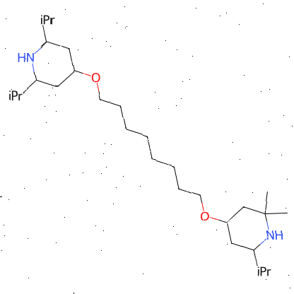 CC(C)C1CC(OCCCCCCCCOC2CC(C(C)C)NC(C)(C)C2)CC(C(C)C)N1